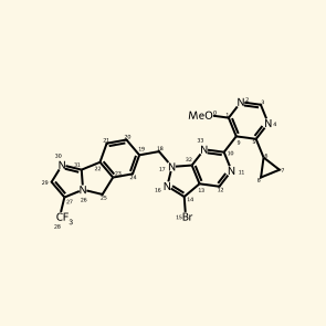 COc1ncnc(C2CC2)c1-c1ncc2c(Br)nn(Cc3ccc4c(c3)Cn3c(C(F)(F)F)cnc3-4)c2n1